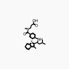 Cc1c(C(CC(C)C)Nc2ccc(C(=O)N(C)CCC(=O)O)cc2)sc2ccccc12